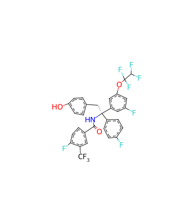 O=C(N[C@](Cc1ccc(O)cc1)(c1ccc(F)cc1)c1cc(F)cc(OC(F)(F)C(F)F)c1)c1ccc(F)c(C(F)(F)F)c1